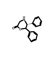 O=C1CN[C@H](c2ccccc2)C(c2ccccc2)O1